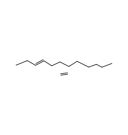 C=C.CCC=CCCCCCCCC